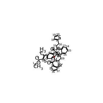 CCOC(=O)c1sc2ccc(S(=O)(=O)N(CCc3cccs3)c3ccccc3N3CCN(C(=O)c4sccc4Br)CC3)cc2c1C